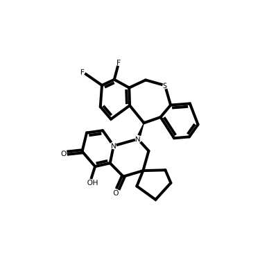 O=C1c2c(O)c(=O)ccn2N([C@@H]2c3ccccc3SCc3c2ccc(F)c3F)CC12CCCC2